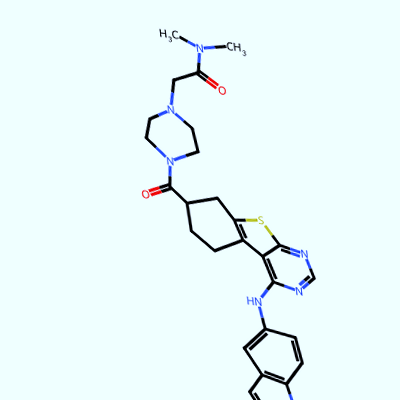 CN(C)C(=O)CN1CCN(C(=O)C2CCc3c(sc4ncnc(Nc5ccc6[nH]ncc6c5)c34)C2)CC1